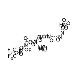 CN(CCN1CCC(OC(=O)Nc2ccccc2-c2ccccc2)CC1)C(=O)CCCCCN(Cc1ccccc1)Cc1ccc(C(=O)N(C)CCCN(C)C(=O)CO[C@H]2Cc3ccccc3C23CCN(CC[C@@]2(c4ccc(F)cc4)CN(C(=O)c4cc(C(F)(F)F)cc(C(F)(F)F)c4)CO2)CC3)cc1.Cl.Cl.Cl